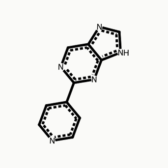 c1cc(-c2ncc3nc[nH]c3n2)ccn1